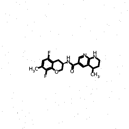 Cc1cc(F)c2c(c1F)OC[C@H](NC(=O)c1cnc3c(c1)C(C)CCN3)C2